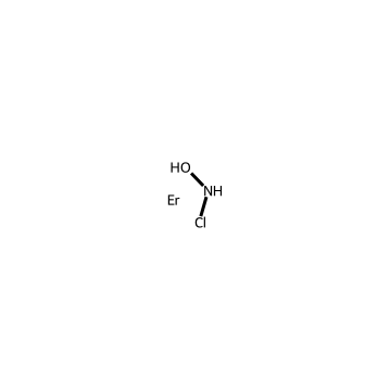 ONCl.[Er]